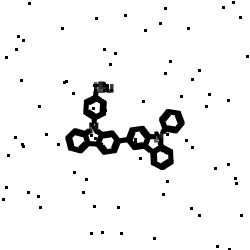 CC(C)(C)c1ccc(-n2c3ccccc3c3ccc(-c4ccc5c(c4)c4ccccc4n5-c4ccccc4)cc32)cc1